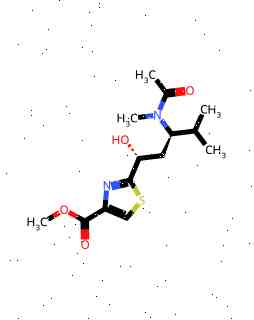 COC(=O)c1csc([C@H](O)C[C@H](C(C)C)N(C)C(C)=O)n1